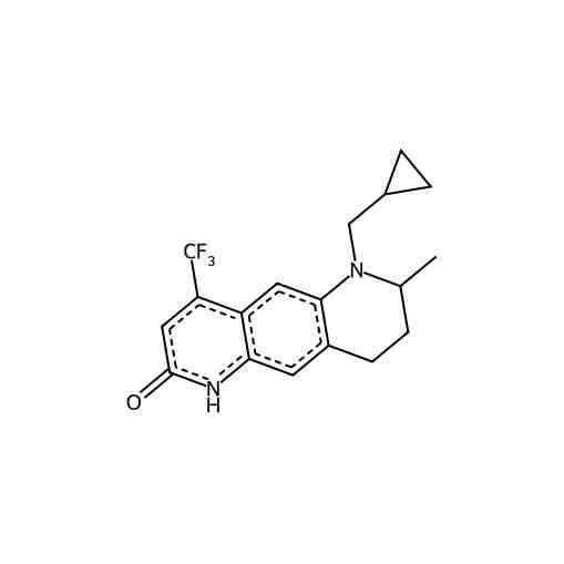 CC1CCc2cc3[nH]c(=O)cc(C(F)(F)F)c3cc2N1CC1CC1